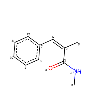 CNC(=O)C(C)=Cc1ccccc1